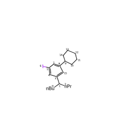 CCCCC(CCC)c1cc(I)cc(C2CCCCC2)c1